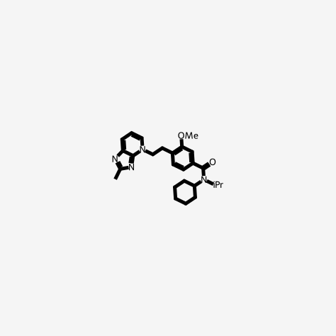 COc1cc(C(=O)N(C(C)C)C2CCCCC2)ccc1CCn1cccc2nc(C)nc1-2